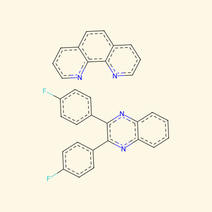 Fc1ccc(-c2nc3ccccc3nc2-c2ccc(F)cc2)cc1.c1cnc2c(c1)ccc1cccnc12